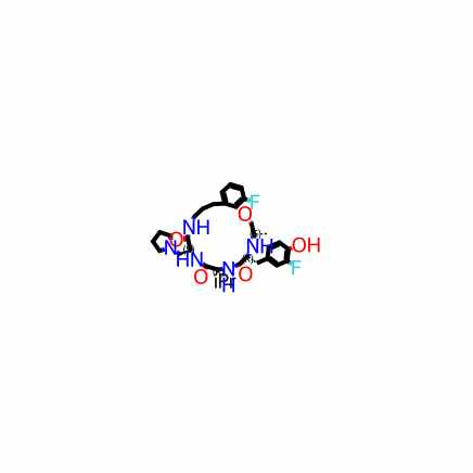 CC(C)[C@H]1NC(=O)[C@@H](Cc2ccc(O)c(F)c2)N[C@@H](C)COc2c(F)cccc2CCCNC(=O)[C@H](CN2CCCC2)NC1=O